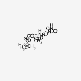 COC(=O)C(Cc1ccc2c(ccn2S(=O)(=O)CC[Si](C)(C)C)c1)NC(=O)N1CCC(N2Cc3ccccc3NC2=O)CC1